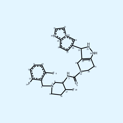 O=C(NC1CN(Cc2c(F)cccc2F)CCC1F)N1CCC2=C(C1)C(c1ccc3nccn3c1)NN2